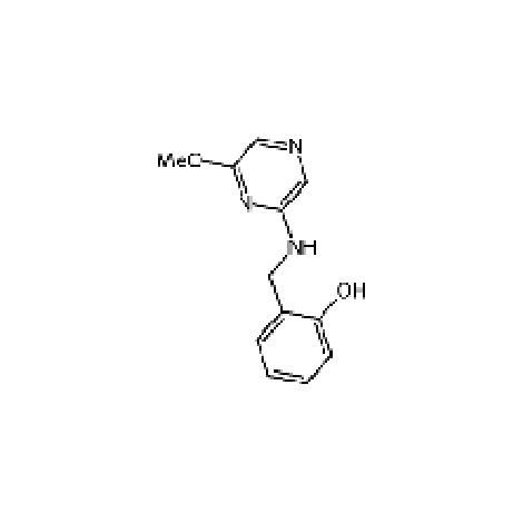 COc1cncc(NCc2ccccc2O)n1